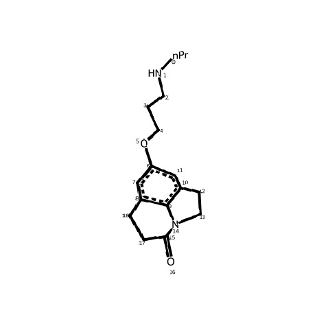 CCCNCCCOc1cc2c3c(c1)CCN3C(=O)CC2